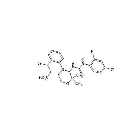 CCC(CC(=O)O)c1ccccc1N1CCOC(C)(C)C1NC(=O)Nc1ccc(Cl)cc1F